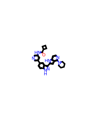 O=C(Nc1cncc(-c2ccc3[nH]nc(-c4cc5c(N6CCCCC6)nccc5[nH]4)c3c2)c1)C1CCC1